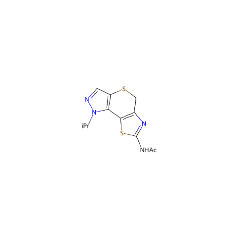 CC(=O)Nc1nc2c(s1)-c1c(cnn1C(C)C)SC2